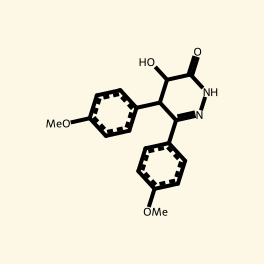 COc1ccc(C2=NNC(=O)C(O)C2c2ccc(OC)cc2)cc1